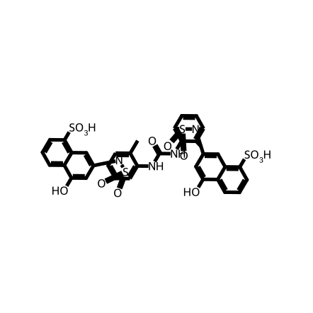 Cc1c2ccc(c1NC(=O)Nc1c3ccc(c1C)N(c1cc(O)c4cccc(S(=O)(=O)O)c4c1)S3(=O)=O)S(=O)(=O)N2c1cc(O)c2cccc(S(=O)(=O)O)c2c1